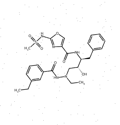 CCc1cccc(C(=O)NN(CC)C[C@@H](O)[C@H](Cc2ccccc2)NC(=O)c2coc(NS(C)(=O)=O)n2)c1